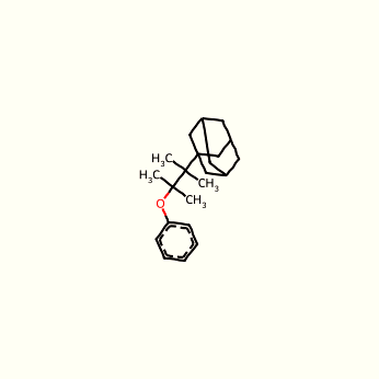 CC(C)(Oc1ccccc1)C(C)(C)C12CC3CC(CC(C3)C1)C2